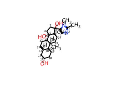 Cc1ncc([C@@]2(O)CC[C@]3(O)[C@@H]4CC=C5C[C@@H](O)CC[C@]5(C)[C@H]4CC[C@]23C)n1C